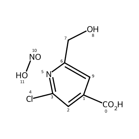 O=C(O)c1cc(Cl)nc(CO)c1.O=NO